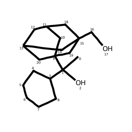 CC(O)(C1CCCCC1)C12CC3CC(CC(CO)(C3)C1)C2